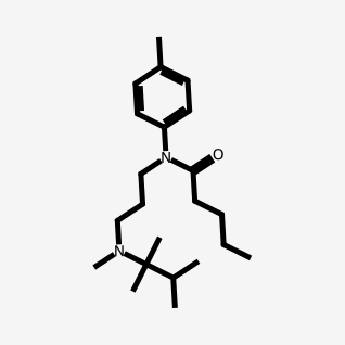 CCCCC(=O)N(CCCN(C)C(C)(C)C(C)C)c1ccc(C)cc1